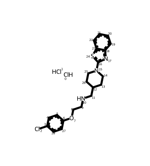 Cl.Cl.Clc1ccc(OCCNCC2CCN(c3nc4ccccc4s3)CC2)cc1